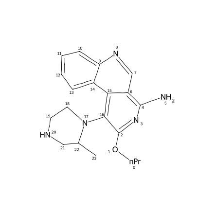 CCCOc1nc(N)c2cnc3ccccc3c2c1N1CCNCC1C